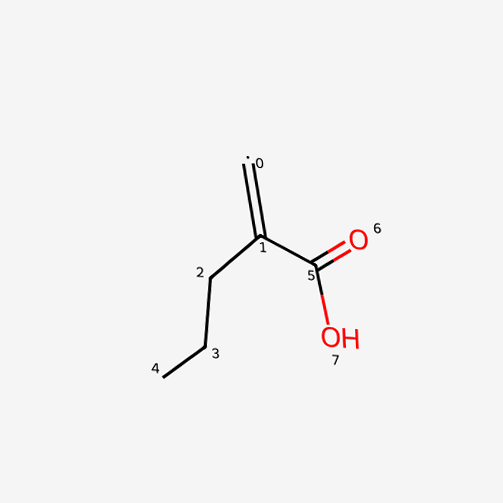 [CH]=C(CCC)C(=O)O